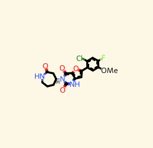 COc1cc(-c2cc3[nH]c(=O)n([C@@H]4CCCNC(=O)C4)c(=O)c3o2)c(Cl)cc1F